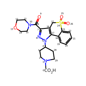 O=C(O)N1CCC(n2nc(C(=O)N3CCOCC3)c3c2-c2ccccc2S(=O)(=O)C3)CC1